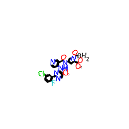 BC(=O)N1C[C@H](NC(=O)c2cnccc2Nc2nc(-c3cc(Cl)ccc3F)ncc2OC)CC1C(=O)OC